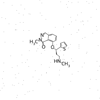 CNCC[C@@H](Oc1cccc2cnn(C)c(=O)c12)c1cccs1